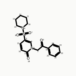 O=C(Cn1cc(S(=O)(=O)N2CCCCC2)ccc1=O)c1ccccc1